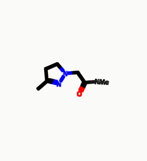 CNC(=O)CN1CCC(C)=N1